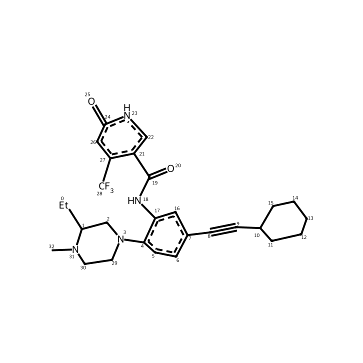 CCC1CN(c2ccc(C#CC3CCCCC3)cc2NC(=O)c2c[nH]c(=O)cc2C(F)(F)F)CCN1C